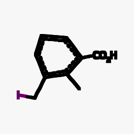 Cc1c(CI)cccc1C(=O)O